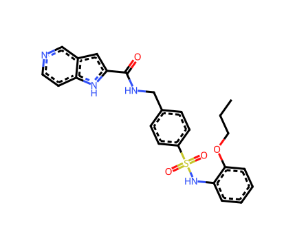 CCCOc1ccccc1NS(=O)(=O)c1ccc(CNC(=O)c2cc3cnccc3[nH]2)cc1